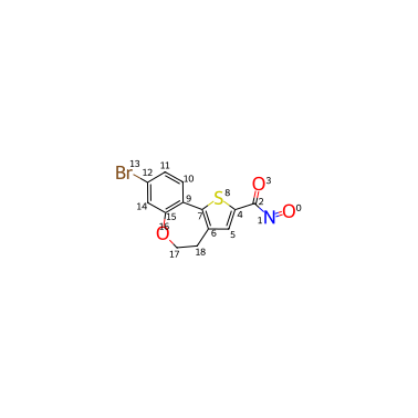 O=NC(=O)c1cc2c(s1)-c1ccc(Br)cc1OCC2